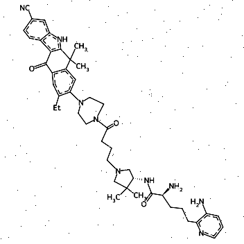 CCc1cc2c(cc1N1CCN(C(=O)CCCN3C[C@H](NC(=O)[C@@H](N)CCCc4ncccc4N)C(C)(C)C3)CC1)C(C)(C)c1[nH]c3cc(C#N)ccc3c1C2=O